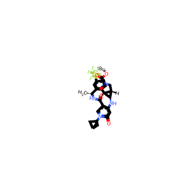 C[C@@H](NC(=O)c1cn(C23CC(C2)C3)c(=O)cc1N[C@H]1[C@@H]2CN(C(=O)OC(C)(C)C)C[C@@H]21)c1cccc(S(F)(F)(F)(F)F)c1